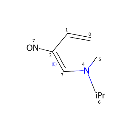 C=C/C(=C\N(C)C(C)C)N=O